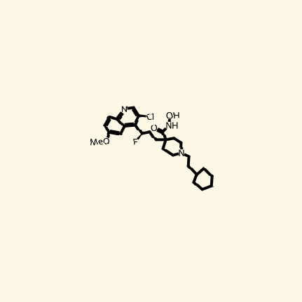 COc1ccc2ncc(Cl)c([C@H](F)CCC3(C(=O)NO)CCN(CCC4CCCCC4)CC3)c2c1